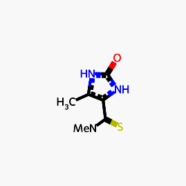 CNC(=S)c1[nH]c(=O)[nH]c1C